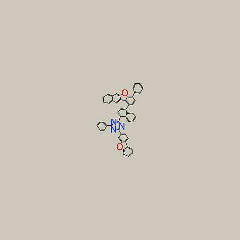 c1ccc(-c2nc(-c3ccc4c(c3)oc3ccccc34)nc(-c3ccc(-c4ccc(-c5ccccc5)c5oc6cc7ccccc7cc6c45)c4ccccc34)n2)cc1